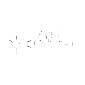 CCOC(=O)Nc1nc2c(C)c(-c3cc(Cc4n[nH]c(=O)c5c4=CCCC=5)ccc3F)cnc2[nH]1